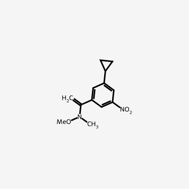 C=C(c1cc(C2CC2)cc([N+](=O)[O-])c1)N(C)OC